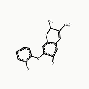 O=C(O)C1=Cc2cc(Cl)c(Oc3cccc[n+]3[O-])cc2SC1C(F)(F)F